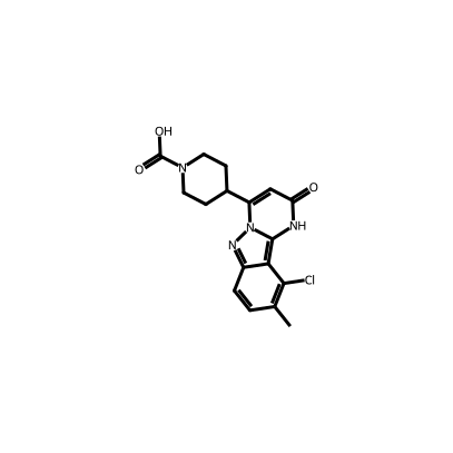 Cc1ccc2nn3c(C4CCN(C(=O)O)CC4)cc(=O)[nH]c3c2c1Cl